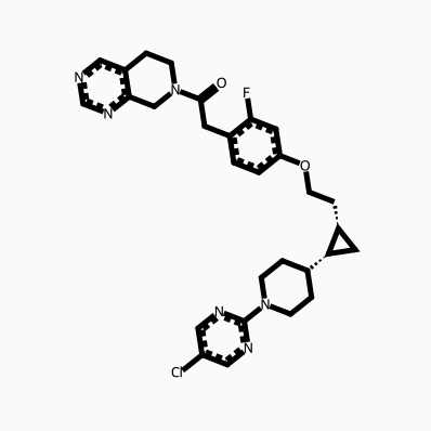 O=C(Cc1ccc(OCC[C@@H]2C[C@@H]2C2CCN(c3ncc(Cl)cn3)CC2)cc1F)N1CCc2cncnc2C1